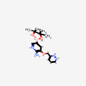 CC1(C)OB(c2cnc(N)c(OCc3cccnn3)c2)OC1(C)C